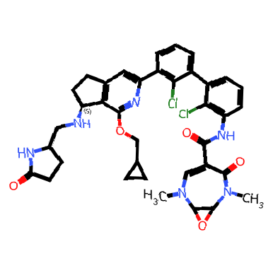 CN1C=C(C(=O)Nc2cccc(-c3cccc(-c4cc5c(c(OCC6CC6)n4)[C@@H](NCC4CCC(=O)N4)CC5)c3Cl)c2Cl)C(=O)N(C)C2OC21